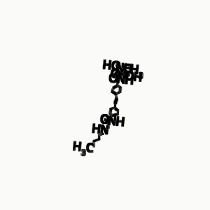 CCCCCCNCC(=O)Nc1ccc(C#Cc2ccc(C(=O)N[C@H](C(=O)NO)[C@@H](C)O)cc2)cc1